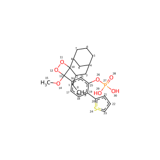 CCC1CC2CCCC(C2)C12OOC2(OC)c1ccc(-c2cccs2)c(OP(=O)(O)O)c1